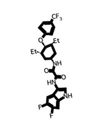 CC[C@@H]1C[C@@H](NC(=O)C(=O)Nc2c[nH]c3cc(F)c(F)cc23)C[C@H](CC)[C@H]1Oc1ccc(C(F)(F)F)cc1